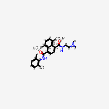 CCc1cccc(C)c1NC(=O)c1ccc(C(=O)NCCN(C)C)c2c(C(=O)O)ccc(C(=O)O)c12